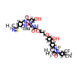 Cc1ncsc1-c1ccc(CNC(=O)[C@@H]2C[C@@H](O)CN2C(=O)C(NC(=O)COCCCCOc2ccc(-c3ccc(N4C(=S)N(c5ccc(C#N)c(C(F)(F)F)c5)C(=O)C4(C)C)cc3)c(O)c2)C(C)(C)C)cc1